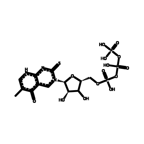 Cc1c[nH]c2nc(=S)n([C@@H]3O[C@H](COP(=O)(O)OP(=O)(O)OP(=O)(O)O)C(O)[C@@H]3O)cc2c1=O